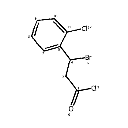 O=C(Cl)CC(Br)c1ccccc1Cl